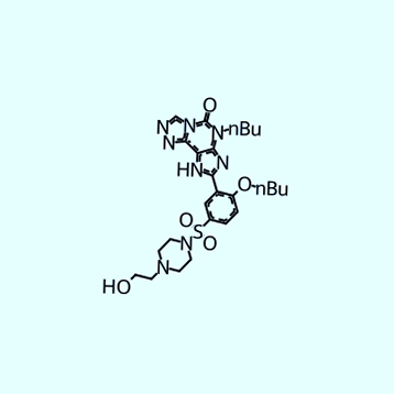 CCCCOc1ccc(S(=O)(=O)N2CCN(CCO)CC2)cc1-c1nc2c([nH]1)c1nncn1c(=O)n2CCCC